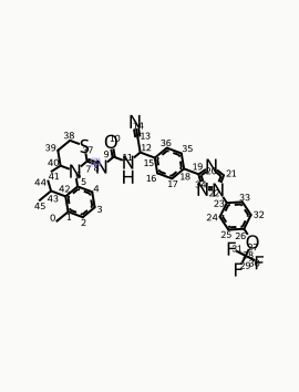 Cc1cccc(N2/C(=N/C(=O)NC(C#N)c3ccc(-c4ncn(-c5ccc(OC(F)(F)F)cc5)n4)cc3)SCCC2C)c1C(C)C